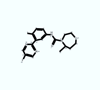 Cc1ccc(NC(=O)N2CCOCCC2C)cc1-c1ncc(F)cn1